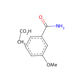 CC(=O)O.COc1cccc(C(N)=O)c1